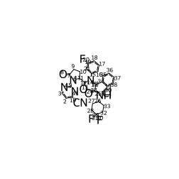 N#Cc1ccnc(N2C(=O)CCC2C(=O)N(c2cccc(F)c2)[C@H](C(=O)NC2CCC(F)(F)CC2)c2ccccc2Cl)n1